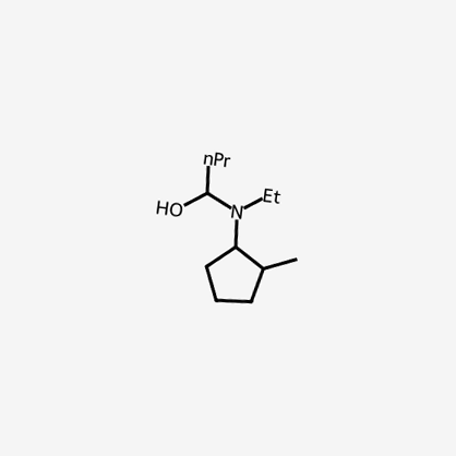 CCCC(O)N(CC)C1CCCC1C